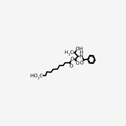 C[C@@H](O)[C@H](NC(=O)c1ccccc1)C(=O)OC(=O)CCCCCCCCC(=O)O